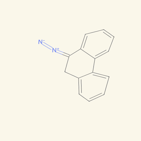 [N-]=[N+]=C1Cc2ccccc2-c2ccccc21